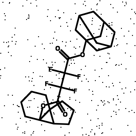 O=C(OC12CC3CC(CC(C3)C1)C2)C(F)(F)C(F)(F)C(=O)OC12CCCCC13CCCC32